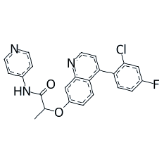 CC(Oc1ccc2c(-c3ccc(F)cc3Cl)ccnc2c1)C(=O)Nc1ccncc1